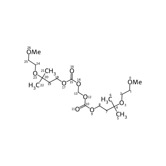 COCCOC(C)(C)CCOC(=O)OCOC(=O)OCCC(C)(C)OCCOC